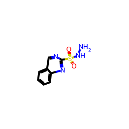 NNS(=O)(=O)c1ncc2ccccc2n1